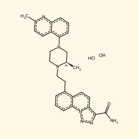 Cc1ccc2c(N3CCN(CCc4cccc5c4ccc4c(C(N)=O)nnn45)[C@H](C)C3)cccc2n1.Cl.Cl